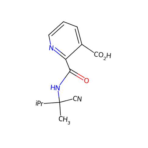 CC(C)C(C)(C#N)NC(=O)c1ncccc1C(=O)O